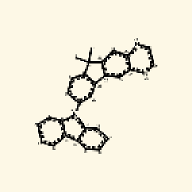 CC1(C)c2ccc(-n3c4ccccc4c4ccccc43)cc2-c2cc3nccnc3cc21